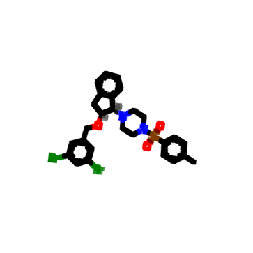 Cc1ccc(S(=O)(=O)N2CCN([C@H]3c4ccccc4C[C@@H]3OCc3cc(Br)cc(Br)c3)CC2)cc1